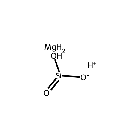 O=[Si]([O-])O.[H+].[MgH2]